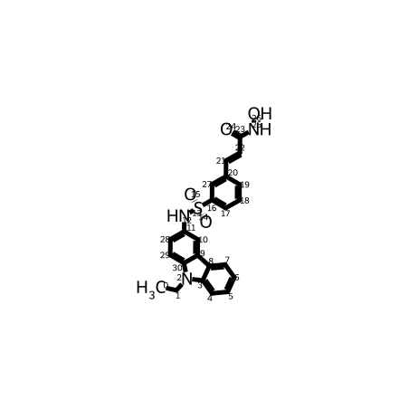 CCn1c2ccccc2c2cc(NS(=O)(=O)c3cccc(C=CC(=O)NO)c3)ccc21